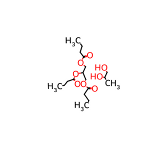 CC(O)CO.CCCC(=O)OCC(COC(=O)CCC)OC(=O)CCC